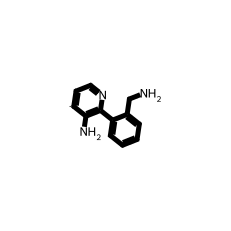 NCc1ccccc1-c1ncc[c]c1N